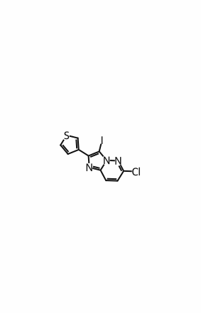 Clc1ccc2nc(-c3ccsc3)c(I)n2n1